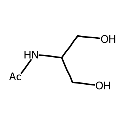 [CH2]C(=O)NC(CO)CO